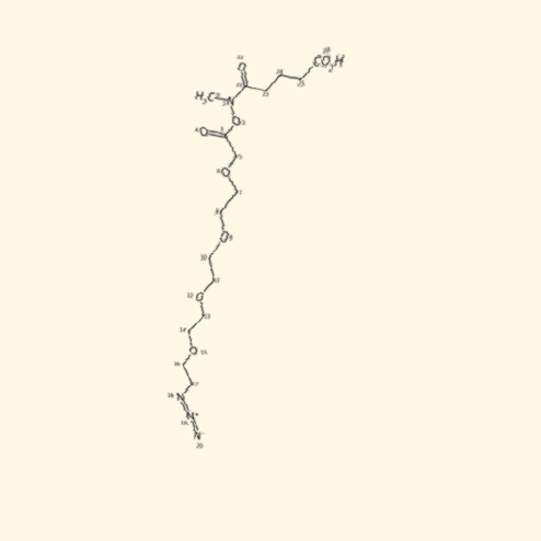 CN(OC(=O)COCCOCCOCCOCCN=[N+]=[N-])C(=O)CCCC(=O)O